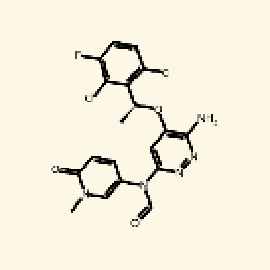 C[C@H](Oc1cc(N(C=O)c2ccc(=O)n(C)c2)nnc1N)c1c(Cl)ccc(F)c1Cl